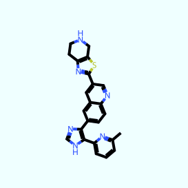 Cc1cccc(-c2[nH]cnc2-c2ccc3ncc(-c4nc5c(s4)CNCC5)cc3c2)n1